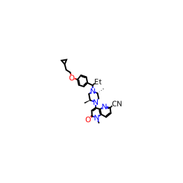 CCC(c1ccc(OCCC2CC2)cc1)N1C[C@H](C)N(c2cc(=O)n(C)c3ccc(C#N)nc23)C[C@H]1C